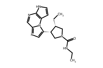 CCNC(=O)N1C[C@@H](CC)[C@@H](c2cnc3cnc4[nH]ccc4n23)C1